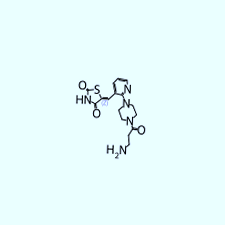 NCCC(=O)N1CCN(c2ncccc2/C=C2\SC(=O)NC2=O)CC1